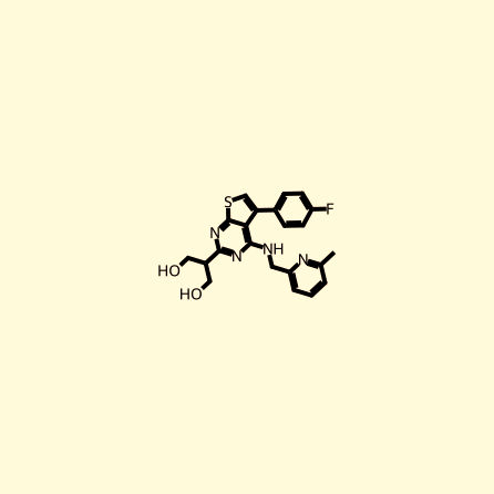 Cc1cccc(CNc2nc(C(CO)CO)nc3scc(-c4ccc(F)cc4)c23)n1